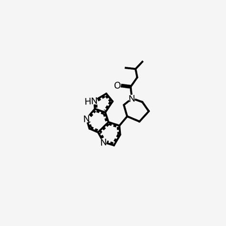 CC(C)CC(=O)N1CCCC(c2ccnc3cnc4[nH]ccc4c23)C1